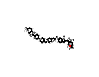 CN(C(=O)CC1CCN(CC2CCN(c3ccc(C(=O)NC4CCC(=O)NC4=O)nc3)CC2)CC1)c1ccc2cc(-c3n[nH]c4c3C[C@@H]3C(F)(F)[C@]3(C)C4)[nH]c2c1